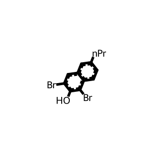 CCCc1ccc2c(Br)c(O)c(Br)cc2c1